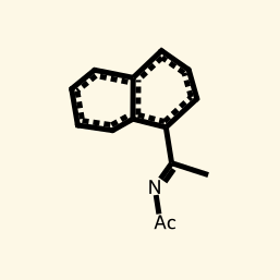 CC(=O)N=C(C)c1cccc2ccccc12